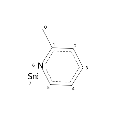 Cc1ccccn1.[Sn]